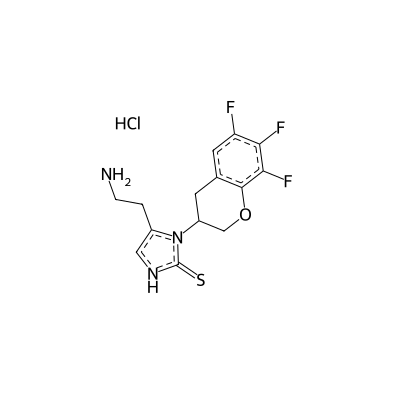 Cl.NCCc1c[nH]c(=S)n1C1COc2c(cc(F)c(F)c2F)C1